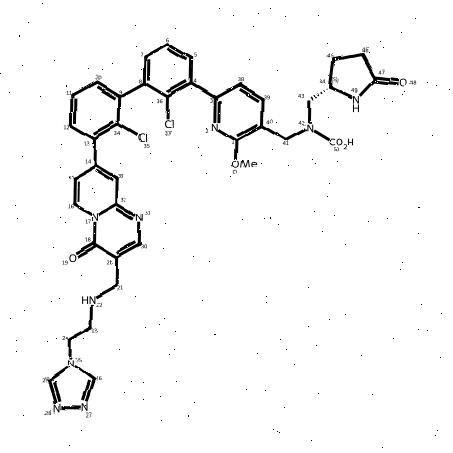 COc1nc(-c2cccc(-c3cccc(-c4ccn5c(=O)c(CNCCn6cnnc6)cnc5c4)c3Cl)c2Cl)ccc1CN(C[C@@H]1CCC(=O)N1)C(=O)O